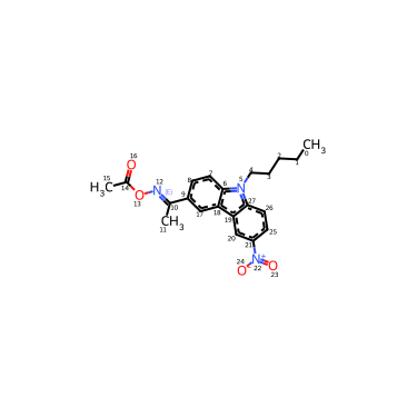 CCCCCn1c2ccc(/C(C)=N/OC(C)=O)cc2c2cc([N+](=O)[O-])ccc21